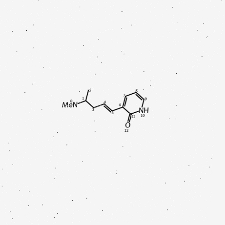 CNC(C)CC=Cc1ccc[nH]c1=O